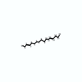 [CH2]C/C=C/CCCCCCCC/C=C/CCC